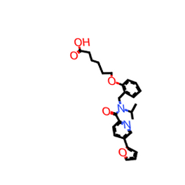 CC(C)N(Cc1ccccc1OCCCCCC(=O)O)C(=O)c1ccc(-c2ccco2)cn1